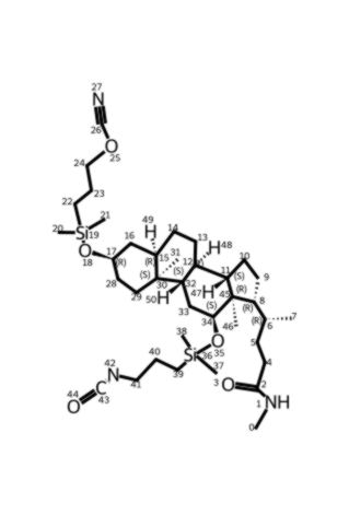 CNC(=O)CC[C@@H](C)[C@H]1CC[C@H]2[C@@H]3CC[C@@H]4C[C@H](O[Si](C)(C)CCCOC#N)CC[C@]4(C)[C@H]3C[C@H](O[Si](C)(C)CCCN=C=O)[C@]12C